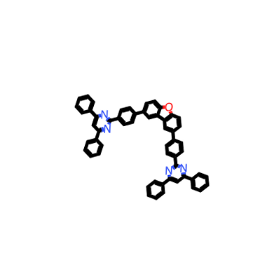 c1ccc(-c2cc(-c3ccccc3)nc(-c3ccc(-c4ccc5oc6ccc(-c7ccc(-c8nc(-c9ccccc9)cc(-c9ccccc9)n8)cc7)cc6c5c4)cc3)n2)cc1